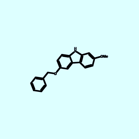 COc1ccc2c(c1)[nH]c1ccc(OCc3ccccc3)cc12